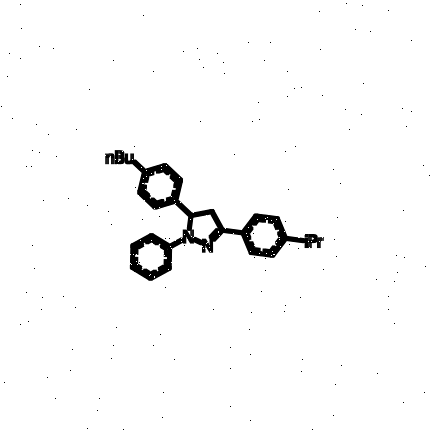 CCCCc1ccc(C2CC(c3ccc(C(C)C)cc3)=NN2c2ccccc2)cc1